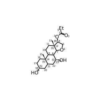 CCC(=O)O[C@H]1COC2C3C(CC[C@@]21C)[C@@]1(C)CC[C@H](O)CC1C[C@@H]3O